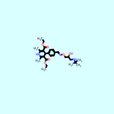 CCOC(=O)C1=C(C)NC(C)=C(C(=O)OCC)C1c1ccc(C=NOCC(O)CNC(C)(C)C)cc1